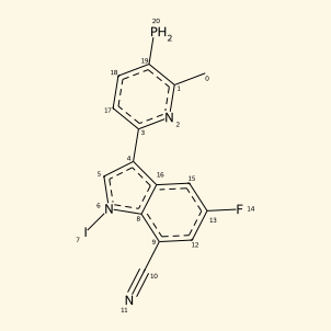 Cc1nc(-c2cn(I)c3c(C#N)cc(F)cc23)ccc1P